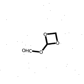 O=COC1OCO1